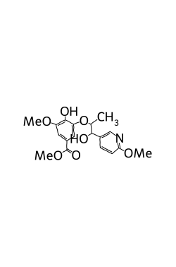 COC(=O)c1cc(OC)c(O)c(OC(C)C(O)c2ccc(OC)nc2)c1